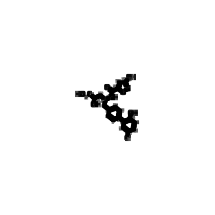 O=C(NN(Cc1ccc(-c2cc(Cl)ccc2O)cc1)CC(O)C(=O)O)c1cc(O)no1